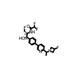 CC(c1ccc(-c2ccc([C@@H](O)[C@@H](CF)NC(=O)C(F)F)cc2)cn1)N1CC(F)C1